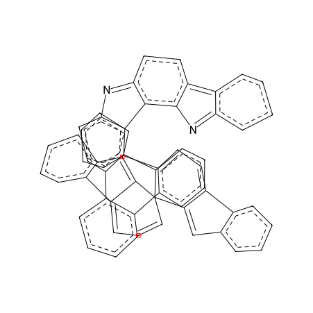 C1=CC2(C3=Cc4ccccc4C3=C1)C1=Cc3ccccc3C1=CC=C2c1c(-c2ccccc2-c2ccccc2-c2ccccc2)ccc2c1-c1c3c(ccc1=N2)=c1ccccc1=N3